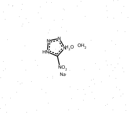 O.O.O=[N+]([O-])c1nnn[nH]1.[Na]